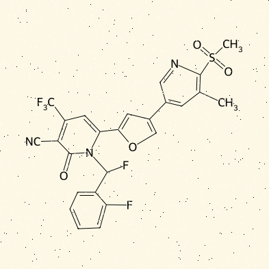 Cc1cc(-c2coc(-c3cc(C(F)(F)F)c(C#N)c(=O)n3C(F)c3ccccc3F)c2)cnc1S(C)(=O)=O